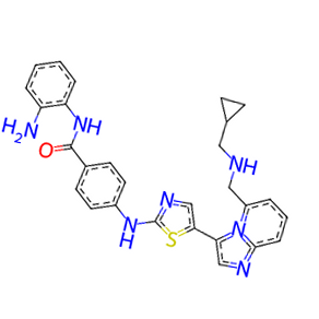 Nc1ccccc1NC(=O)c1ccc(Nc2ncc(-c3cnc4cccc(CNCC5CC5)n34)s2)cc1